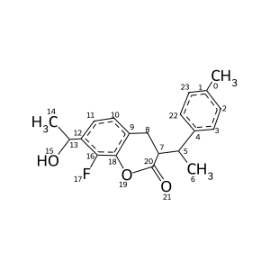 Cc1ccc(C(C)C2Cc3ccc(C(C)O)c(F)c3OC2=O)cc1